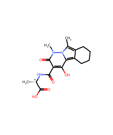 Cc1c2c(c3c(O)c(C(=O)N[C@@H](C)C(=O)O)c(=O)n(C)n13)CCCC2